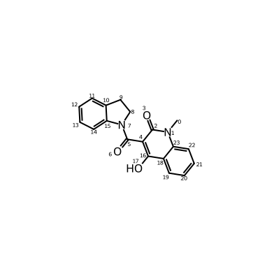 Cn1c(=O)c(C(=O)N2CCc3ccccc32)c(O)c2ccccc21